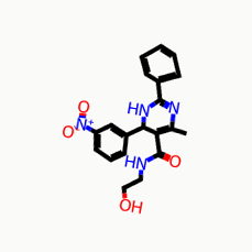 CC1=C(C(=O)NCCO)C(c2cccc([N+](=O)[O-])c2)NC(c2ccccc2)=N1